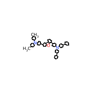 Cc1ccc(N(c2ccc(C)cc2)c2ccc(-c3ccc4oc5c(-c6ccc(N(c7ccc(-c8ccccc8)cc7)c7ccc(-c8ccccc8)cc7)cc6)cccc5c4c3)cc2)cc1